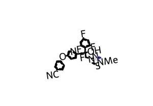 CN/C=N\N(C=S)CC(O)(c1ccc(F)cc1F)C(F)(F)c1ccc(Oc2ccc(C#N)cc2)cn1